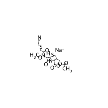 CON(C(=O)CSCC#N)C1C(=O)N2C(C(=O)[O-])=C(COC(C)=O)CS[C@H]12.[Na+]